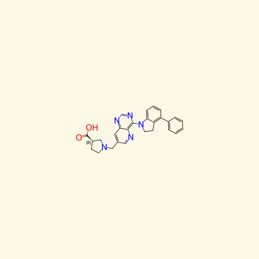 O=C(O)[C@@H]1CCN(Cc2cnc3c(N4CCc5c(-c6ccccc6)cccc54)ncnc3c2)C1